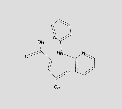 O=C(O)/C=C/C(=O)O.c1ccc(Nc2ccccn2)nc1